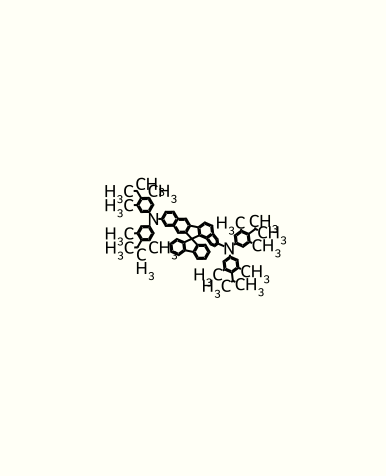 Cc1cc(N(c2cc(C)c(C(C)C)c(C)c2)c2ccc3cc4c(cc3c2)C2(c3ccccc3-c3ccccc32)c2c-4ccc3cc(N(c4cc(C)c(C(C)C)c(C)c4)c4cc(C)c(C(C)C)c(C)c4)ccc23)cc(C)c1C(C)C